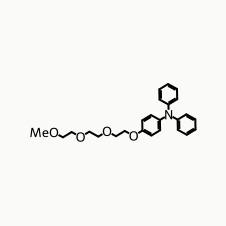 COCCOCCOCCOc1ccc(N(c2ccccc2)c2ccccc2)cc1